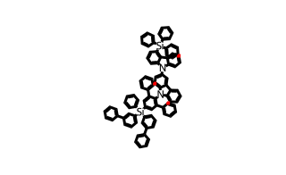 c1ccc(-c2cccc([Si](c3ccccc3)(c3cccc(-c4ccccc4)c3)c3cc(-c4ccccc4)c(-n4c5ccccc5c5cc(-n6c7ccccc7c7c([Si](c8ccccc8)(c8ccccc8)c8ccccc8)cccc76)ccc54)c(-c4ccccc4)c3)c2)cc1